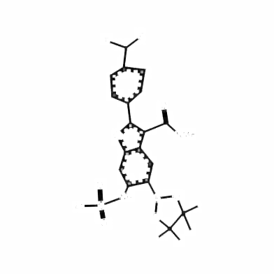 CCS(=O)(=O)Nc1cc2oc(-c3ccc(C(F)F)cc3)c(C(=O)NC)c2cc1B1OC(C)(C)C(C)(C)O1